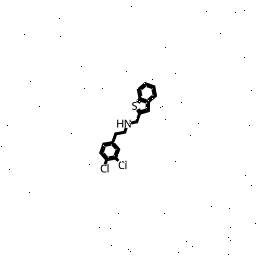 Clc1ccc(CCNCc2cc3ccccc3s2)cc1Cl